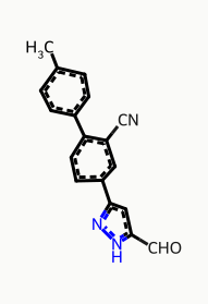 Cc1ccc(-c2ccc(-c3cc(C=O)[nH]n3)cc2C#N)cc1